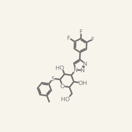 Cc1cccc(SC2OC(CO)C(O)C(n3cc(-c4cc(F)c(F)c(F)c4)nn3)C2O)c1